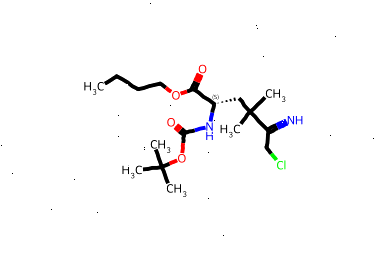 CCCCOC(=O)[C@H](CC(C)(C)C(=N)CCl)NC(=O)OC(C)(C)C